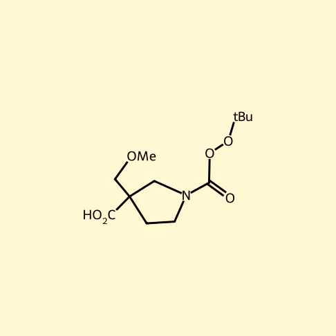 COCC1(C(=O)O)CCN(C(=O)OOC(C)(C)C)C1